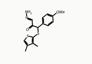 COc1ccc(C(Sc2scc(C)c2C)C(=O)C=NN)cc1